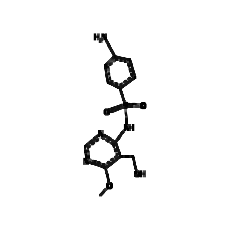 COc1ncnc(NS(=O)(=O)c2ccc(N)cc2)c1CO